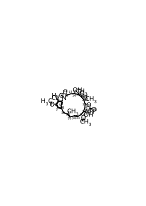 COc1cc2cc(c1Cl)N(C)C(=O)CC(O)C1(C)O[C@H]1[C@@H](C)C1C[C@](O)(NC(=O)O1)[C@@H](OC)/C=C/C=C(\C)C2